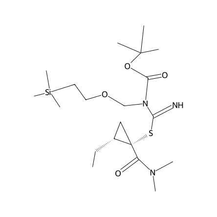 CC[C@@H]1C[C@@]1(SC(=N)N(COCC[Si](C)(C)C)C(=O)OC(C)(C)C)C(=O)N(C)C